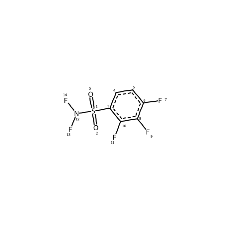 O=S(=O)(c1ccc(F)c(F)c1F)N(F)F